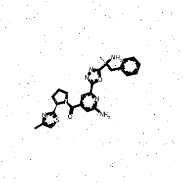 Cc1csc([C@H]2CCCN2C(=O)c2cc(N)nc(-c3nnc([C@@](C)(N)Cc4ccccc4)o3)c2)n1